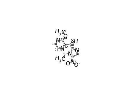 CCn1c([N+](=O)[O-])cnc1C(S)c1nccnc1OC